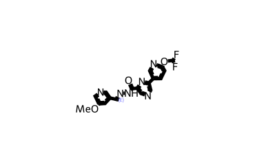 COc1cncc(/C=N/NC(=O)c2cncc(-c3ccc(OC(F)F)nc3)n2)c1